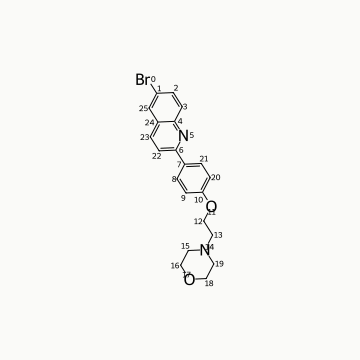 Brc1ccc2nc(-c3ccc(OCCN4CCOCC4)cc3)ccc2c1